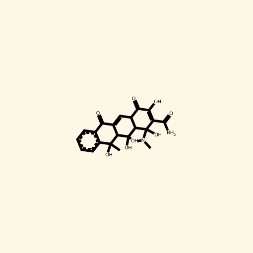 CN(C)C1(O)C(C(N)=O)=C(O)C(=O)C2C=C3C(=O)c4ccccc4C(C)(O)C3C(O)(O)C21